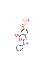 O=c1oc(Nc2ccccc2)nc2ccc(OSO)cc12